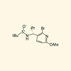 COc1ccc([C@H](N[S+]([O-])C(C)(C)C)C(C)C)c(Br)n1